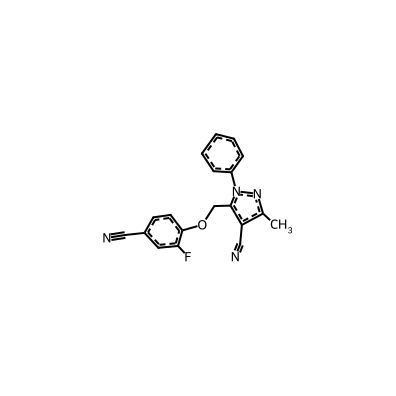 Cc1nn(-c2ccccc2)c(COc2ccc(C#N)cc2F)c1C#N